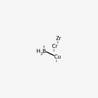 [BH2][Cu].[Cr].[Zr]